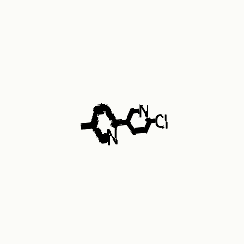 Cc1ccc(C2C=CC(Cl)=NC2)nc1